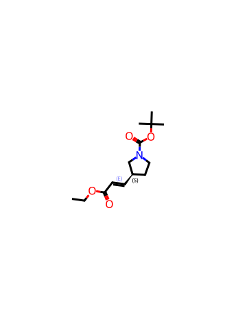 CCOC(=O)/C=C/[C@@H]1CCN(C(=O)OC(C)(C)C)C1